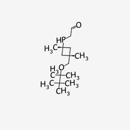 CC(C)(C)C(C)(C)OC[C@]1(C)C[C@](C)(PCC=O)C1